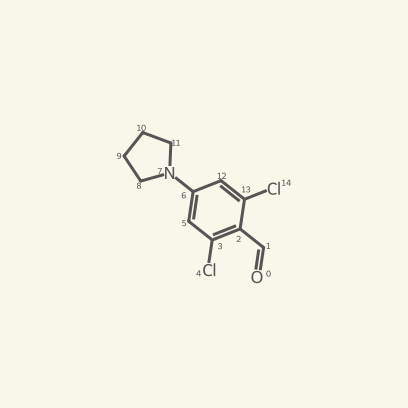 O=Cc1c(Cl)cc(N2CCCC2)cc1Cl